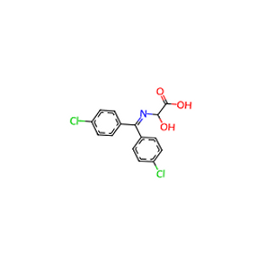 O=C(O)C(O)N=C(c1ccc(Cl)cc1)c1ccc(Cl)cc1